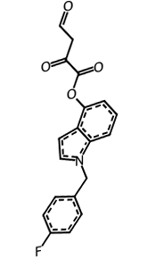 O=CCC(=O)C(=O)Oc1cccc2c1ccn2Cc1ccc(F)cc1